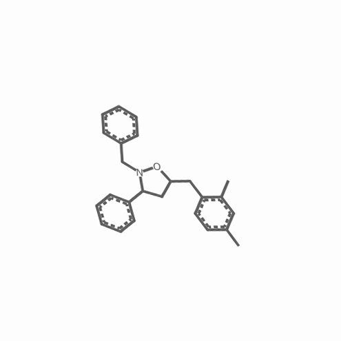 Cc1ccc(CC2CC(c3ccccc3)N(Cc3ccccc3)O2)c(C)c1